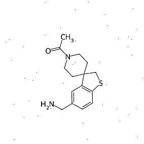 CC(=O)N1CCC2(CC1)CSc1ccc(CN)cc12